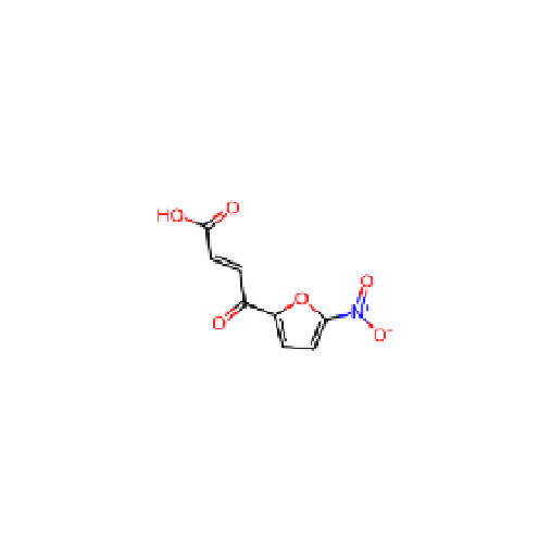 O=C(O)C=CC(=O)c1ccc([N+](=O)[O-])o1